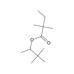 CCC(C)(C)C(=O)OC(C)C(C)(C)C